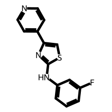 Fc1cccc(Nc2nc(-c3ccncc3)cs2)c1